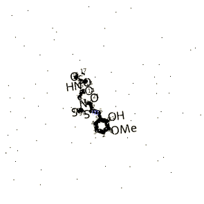 COc1cccc(/C=C2\SC(=S)N(CC(=O)NS(C)(=O)=O)C2=O)c1O